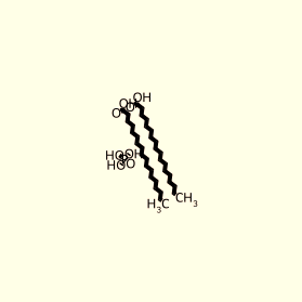 CCCCCCCCCCCCCCCCCC(=O)O.CCCCCCCCCCCCCCCCCC(=O)O.O=P(O)(O)O